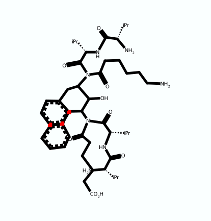 CC(C)[C@H](N)C(=O)N[C@H](C(=O)N(C(=O)CCCCCN)C(Cc1ccccc1)C(O)C(Cc1ccccc1)N(C(=O)CCCCC(=O)O)C(=O)[C@@H](NC(=O)[C@@H](N)C(C)C)C(C)C)C(C)C